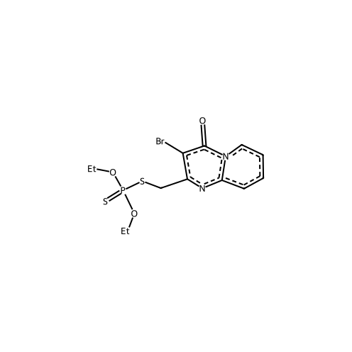 CCOP(=S)(OCC)SCc1nc2ccccn2c(=O)c1Br